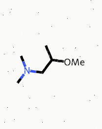 COC(C)CN(C)C